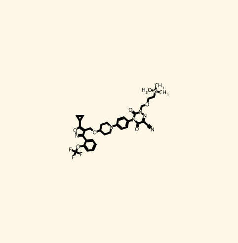 C[Si](C)(C)CCOCn1nc(C#N)c(=O)n(-c2ccc(N3CCC(OCc4c(-c5ccccc5OC(F)(F)F)noc4C4CC4)CC3)cc2)c1=O